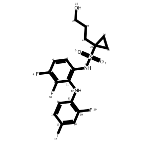 O=S(=O)(Nc1ccc(F)c(F)c1Nc1ccc(I)cc1F)C1(CCCO)CC1